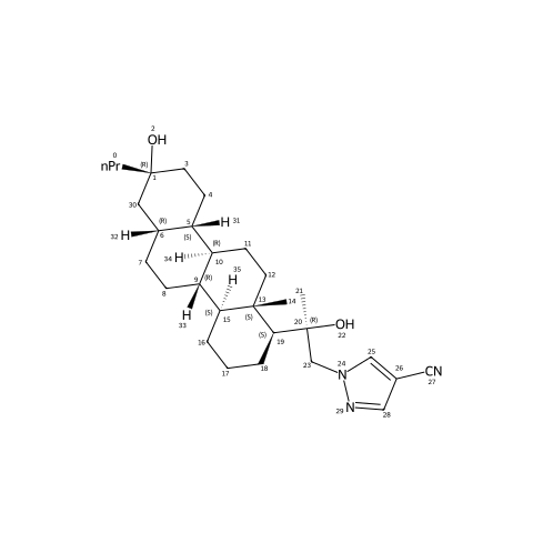 CCC[C@@]1(O)CC[C@H]2[C@H](CC[C@@H]3[C@@H]2CC[C@@]2(C)[C@H]3CCC[C@@H]2[C@@](C)(O)Cn2cc(C#N)cn2)C1